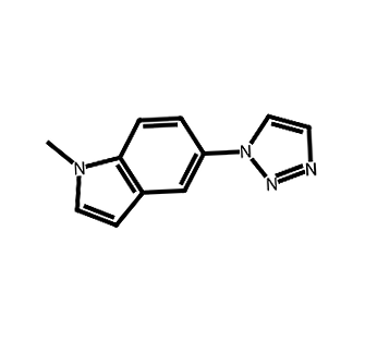 Cn1ccc2cc(-n3ccnn3)ccc21